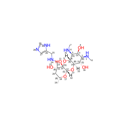 CN[C@@H]1[C@H](O)[C@H](NC)[C@H]2O[C@]3(O)[C@H](O[C@@H]2[C@H]1O)O[C@H](C)C[C@@]3(O)CNCc1cnc[nH]1